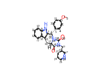 COc1ccc([C@H]2c3[nH]c4ccccc4c3C[C@@H]3C(=O)N(Cc4cccnc4)C(=O)N23)cc1